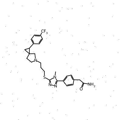 Cn1c(SCCCN2CCC3(CC3c3ccc(C(F)(F)F)cc3)C2)nnc1-c1ccc(CC(N)=O)cc1